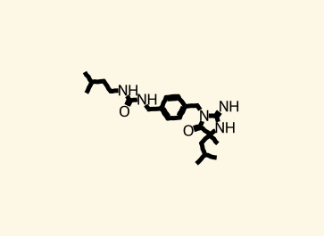 CC(C)CCNC(=O)NCc1ccc(CN2C(=N)NC(C)(CC(C)C)C2=O)cc1